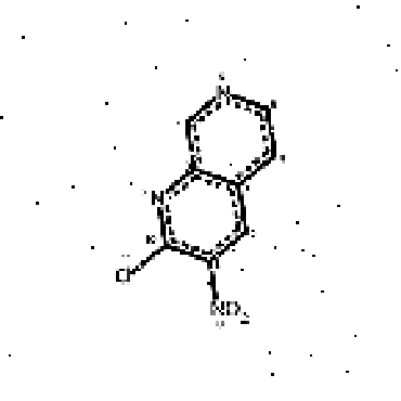 O=[N+]([O-])c1cc2ccncc2nc1Cl